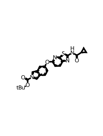 CC(C)(C)OC(=O)n1cc2ccc(Oc3ccc4nc(NC(=O)C5CC5)sc4n3)cc2c1